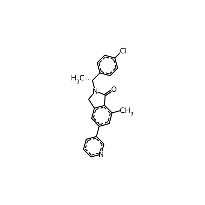 Cc1cc(-c2cccnc2)cc2c1C(=O)N([C@H](C)c1ccc(Cl)cc1)C2